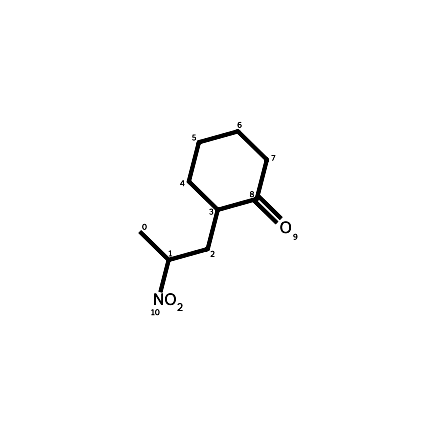 CC(CC1CCCCC1=O)[N+](=O)[O-]